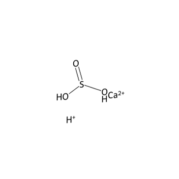 O=S(O)O.[Ca+2].[H+]